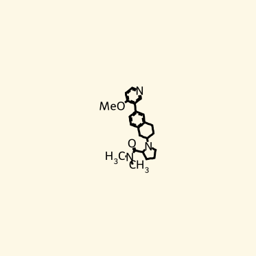 COc1ccncc1-c1ccc2c(c1)CCC(N1CCCC1C(=O)N(C)C)C2